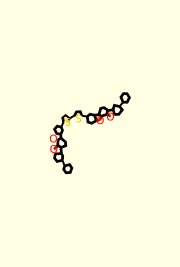 C1=C(c2ccc3oc4c(ccc5c6cc(-c7ccccc7)ccc6oc54)c3c2)SC(c2ccc(-c3ccc4oc5c(ccc6c7cc(-c8ccccc8)ccc7oc65)c4c3)s2)C1